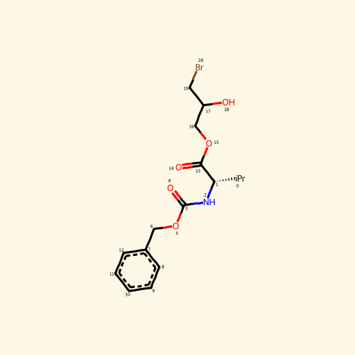 CC(C)[C@H](NC(=O)OCc1ccccc1)C(=O)OCC(O)CBr